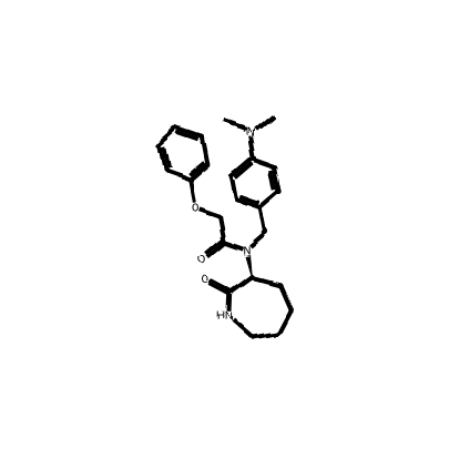 CN(C)c1ccc(CN(C(=O)COc2ccccc2)[C@H]2CCCCNC2=O)cc1